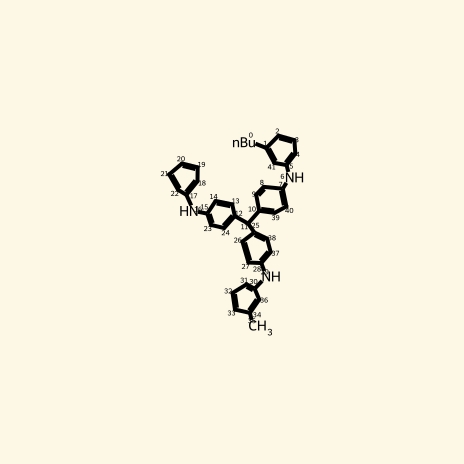 CCCCc1cccc(Nc2ccc(C(c3ccc(Nc4ccccc4)cc3)c3ccc(Nc4cccc(C)c4)cc3)cc2)c1